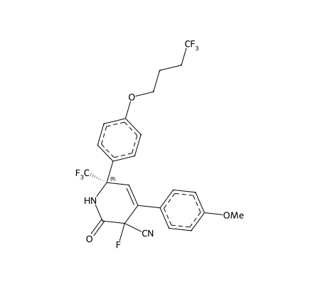 COc1ccc(C2=C[C@@](c3ccc(OCCCC(F)(F)F)cc3)(C(F)(F)F)NC(=O)C2(F)C#N)cc1